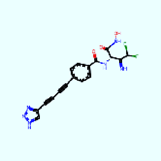 N=C(C(F)F)[C@H](NC(=O)c1ccc(C#CC#Cc2c[nH]nn2)cc1)C(=O)NO